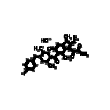 Cc1c(C(=O)N2C[C@H](C)N(Cc3ccc(F)cc3)C[C@H]2C)c(Cl)cc2c1c(C(=O)C(N)=O)c(C)n2C.Cl